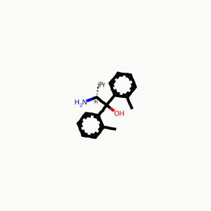 Cc1ccccc1C(O)(c1ccccc1C)[C@H](N)C(C)C